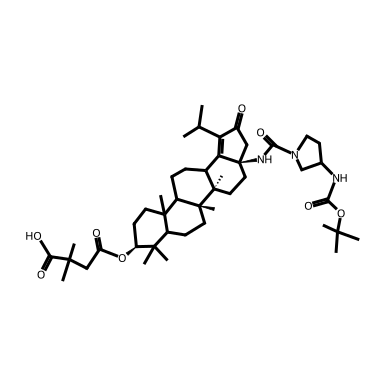 CC(C)C1=C2C3CCC4C5(C)CC[C@H](OC(=O)CC(C)(C)C(=O)O)C(C)(C)C5CC[C@@]4(C)[C@]3(C)CC[C@@]2(NC(=O)N2CCC(NC(=O)OC(C)(C)C)C2)CC1=O